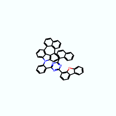 c1ccc(-n2c3cccc4c3c3c(cccc32)-c2cccc3cccc-4c23)c(-c2nc(-c3cccc4ccccc34)nc(-c3cccc4c3oc3ccccc34)n2)c1